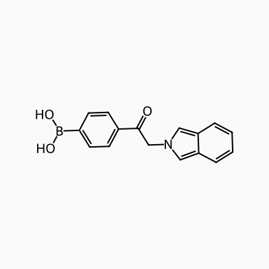 O=C(Cn1cc2ccccc2c1)c1ccc(B(O)O)cc1